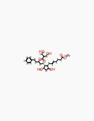 CC(C)OC(=O)CCCC=CC[C@@H]1[C@@H](CCC(CCc2ccccc2)OC(=O)C(CO)CO)[C@H](O)C[C@@H]1O